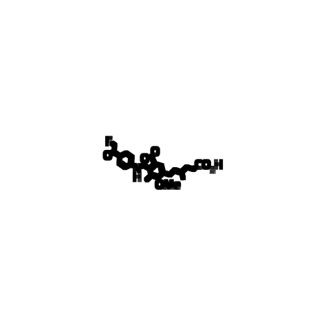 COc1c(C/C=C(\C)CCC(=O)O)cc2c(c1C)C(NC1=CCC(C(=O)CF)C=C1)OC2=O